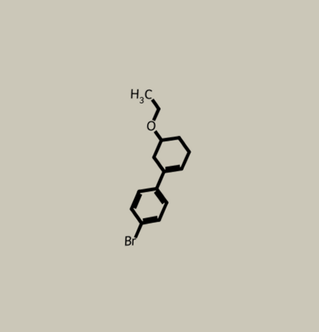 CCOC1CCC=C(c2ccc(Br)cc2)C1